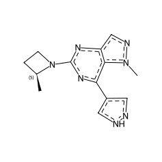 C[C@H]1CCN1c1nc(-c2cn[nH]c2)c2c(cnn2C)n1